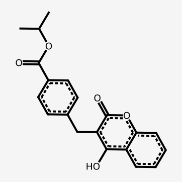 CC(C)OC(=O)c1ccc(Cc2c(O)c3ccccc3oc2=O)cc1